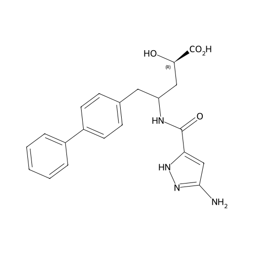 Nc1cc(C(=O)NC(Cc2ccc(-c3ccccc3)cc2)C[C@@H](O)C(=O)O)[nH]n1